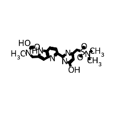 CN(Cc1cc2nc(-c3nc(O)cc(CS(=O)(=O)N(C)C)n3)ccc2[nH]1)C(=O)O